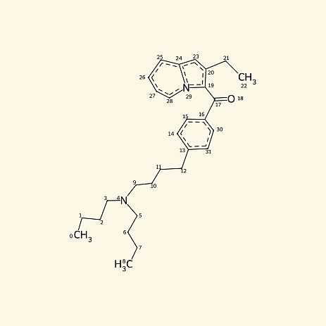 CCCCN(CCCC)CCCCc1ccc(C(=O)c2c(CC)cc3ccccn23)cc1